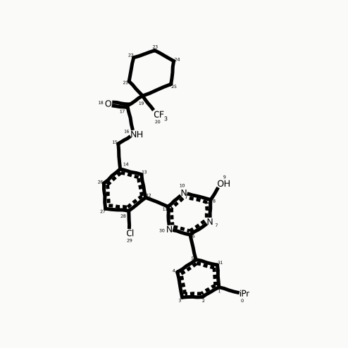 CC(C)c1cccc(-c2nc(O)nc(-c3cc(CNC(=O)C4(C(F)(F)F)CCCCC4)ccc3Cl)n2)c1